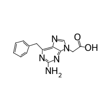 Nc1nc(Cc2ccccc2)c2ncn(CC(=O)O)c2n1